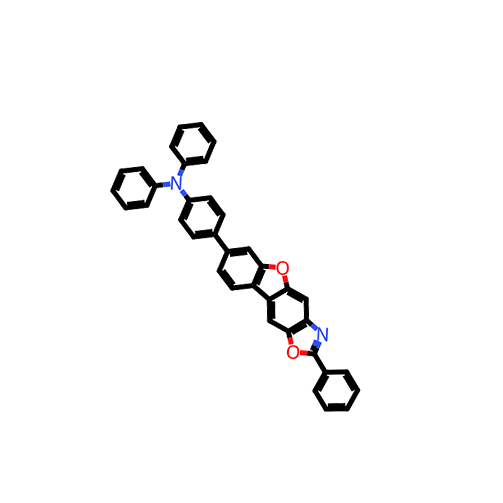 c1ccc(-c2nc3cc4oc5cc(-c6ccc(N(c7ccccc7)c7ccccc7)cc6)ccc5c4cc3o2)cc1